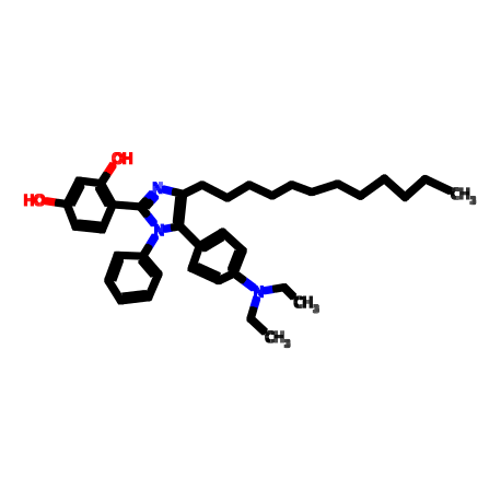 CCCCCCCCCCCCc1nc(-c2ccc(O)cc2O)n(-c2ccccc2)c1-c1ccc(N(CC)CC)cc1